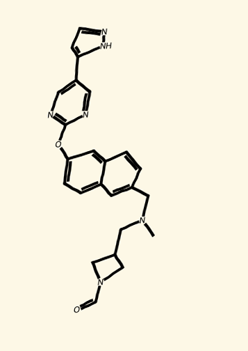 CN(Cc1ccc2cc(Oc3ncc(-c4ccn[nH]4)cn3)ccc2c1)CC1CN(C=O)C1